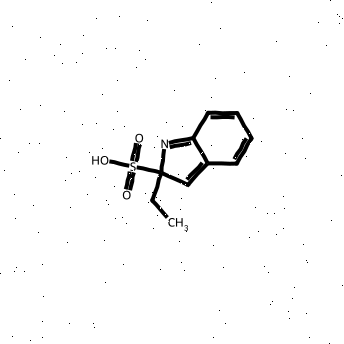 CCC1(S(=O)(=O)O)C=c2ccccc2=N1